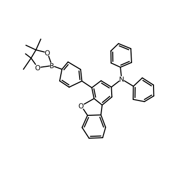 CC1(C)OB(c2ccc(-c3cc(N(c4ccccc4)c4ccccc4)cc4c3oc3ccccc34)cc2)OC1(C)C